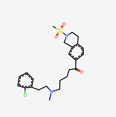 CN(CCCCC(=O)c1ccc2c(c1)CN(S(C)(=O)=O)CC2)CCc1ccccc1Cl